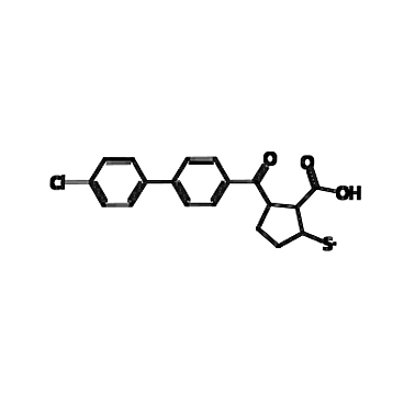 O=C(c1ccc(-c2ccc(Cl)cc2)cc1)C1CCC([S])C1C(=O)O